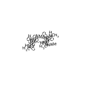 CN[C@@H](C)C(=O)N[C@@H](CCCCCC[C@H](NC(=O)[C@H](C)NC)C(=O)N1Cc2ccccc2C[C@H]1C(=O)N[C@H](C)c1ccccc1)C(=O)N1Cc2ccccc2C[C@H]1C(=O)N[C@H](C)c1ccccc1